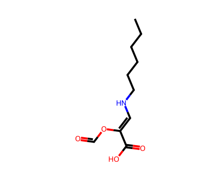 CCCCCCNC=C(OC=O)C(=O)O